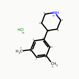 Cc1cc(C)cc(C2CCNCC2)c1.Cl